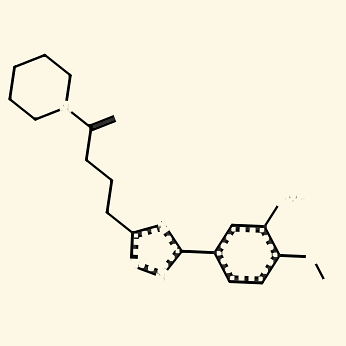 CCOc1ccc(-c2noc(CCCC(=O)N3CCCCC3)n2)cc1OC